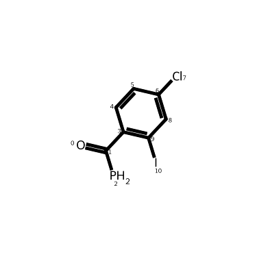 O=C(P)c1ccc(Cl)cc1I